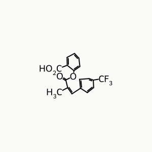 CC(=Cc1ccc(C(F)(F)F)cc1)C(=O)Oc1ccccc1C(=O)O